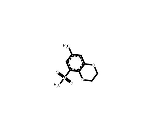 Cc1cc2c(c(S(C)(=O)=O)c1)OCCO2